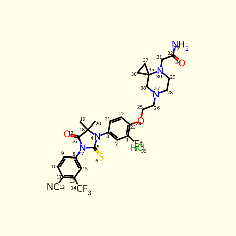 CCc1cc(N2C(=S)N(c3ccc(C#N)c(C(F)(F)F)c3)C(=O)C2(C)C)ccc1OCCN1CCN(CC(N)=O)C2(CC2)C1.Cl